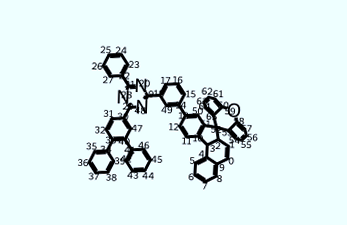 C1=CC2C(c3ccccc31)c1ccc(-c3cccc(-c4nc(-c5ccccc5)nc(-c5ccc(-c6ccccc6)c(-c6ccccc6)c5)n4)c3)cc1C21c2ccccc2Oc2ccccc21